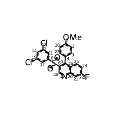 COc1ccc(-c2c(S(=O)(=O)c3cc(Cl)cc(Cl)c3)cnc3cc(F)ccc23)cc1